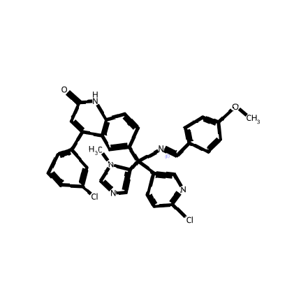 COc1ccc(/C=N/C(c2ccc(Cl)nc2)(c2ccc3[nH]c(=O)cc(-c4cccc(Cl)c4)c3c2)c2cncn2C)cc1